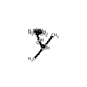 CCCCCCCCCOc1cc(C=CC(=O)NCCCc2cc(C(C)(C)C)c(O)c(C(C)(C)C)c2)cc(OCCCCCCCCC)c1O